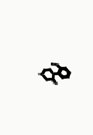 O=Cc1ccccc1N1CCOCC1Cl